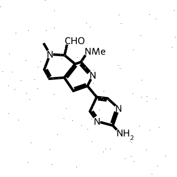 CNc1nc(-c2cnc(N)nc2)cc2c1C(C=O)N(C)C=C2